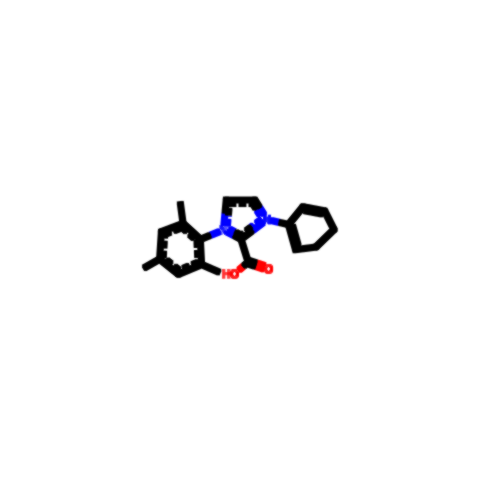 Cc1cc(C)c(-[n+]2ccn(C3=CCCC=C3)c2C(=O)O)c(C)c1